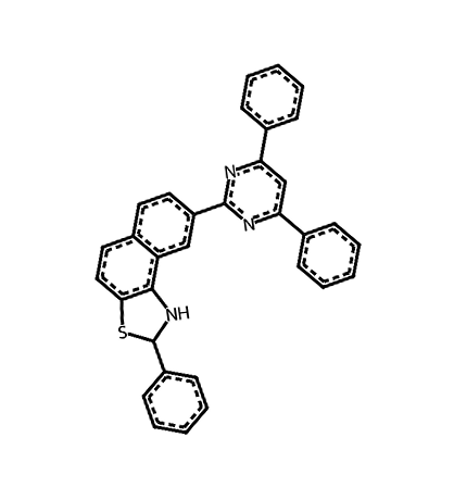 c1ccc(-c2cc(-c3ccccc3)nc(-c3ccc4ccc5c(c4c3)NC(c3ccccc3)S5)n2)cc1